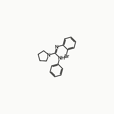 Brc1ccccc1N=C(Nc1ccccc1)N1CCCC1